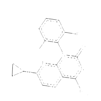 Nc1nc(=O)n(-c2c(F)cccc2F)c2nc(C3CC3)ccc12